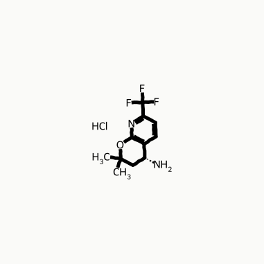 CC1(C)C[C@@H](N)c2ccc(C(F)(F)F)nc2O1.Cl